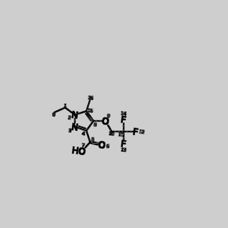 CCn1nc(C(=O)O)c(OCC(F)(F)F)c1C